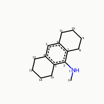 CNc1c2c(cc3c1CCCC3)CCCC2